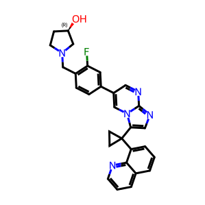 O[C@@H]1CCN(Cc2ccc(-c3cnc4ncc(C5(c6cccc7cccnc67)CC5)n4c3)cc2F)C1